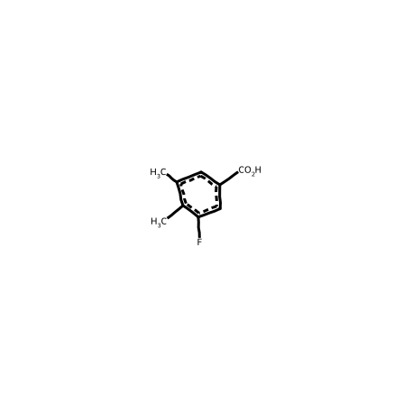 Cc1cc(C(=O)O)cc(F)c1C